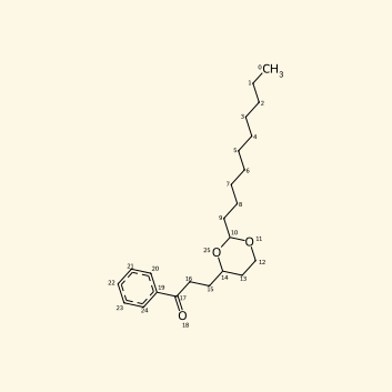 CCCCCCCCCCC1OCCC(CCC(=O)c2ccccc2)O1